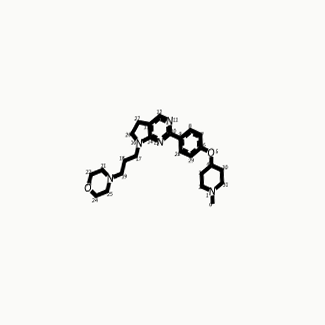 CN1CCC(Oc2ccc(-c3ncc4c(n3)N(CCCN3CCOCC3)CC4)cc2)CC1